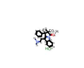 CCC1(c2ccccc2)c2c(CCN(C)C)c3ccccc3n2C(=O)C1(C)C(=O)O.Cl